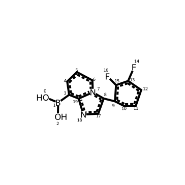 OB(O)c1cccn2c(-c3cccc(F)c3F)cnc12